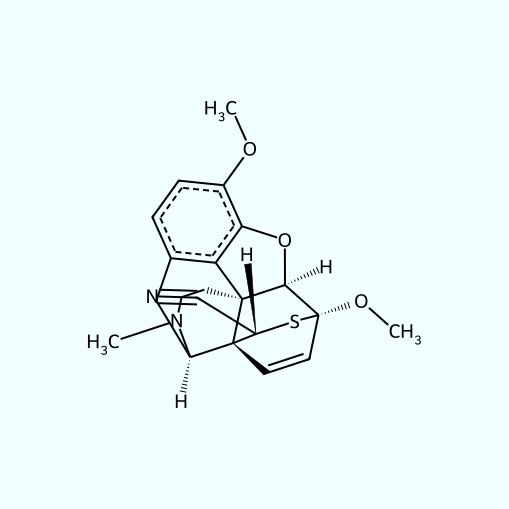 COc1ccc2c3c1O[C@@H]1[C@]34CCN(C)[C@H](C2)[C@]42C=C[C@@]1(OC)S[C@H]2C#N